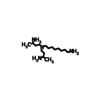 CC(N)CCN(CCCCCCCCN)CCC(C)N